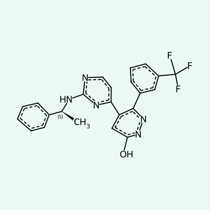 C[C@H](Nc1nccc(-c2cc(O)nnc2-c2cccc(C(F)(F)F)c2)n1)c1ccccc1